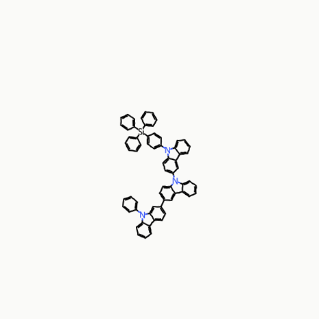 c1ccc(-n2c3ccccc3c3ccc(-c4ccc5c(c4)c4ccccc4n5-c4ccc5c(c4)c4ccccc4n5-c4ccc([Si](c5ccccc5)(c5ccccc5)c5ccccc5)cc4)cc32)cc1